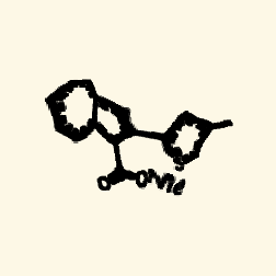 COC(=O)c1c2cccccc-2cc1-c1cc(C)cs1